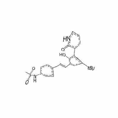 CC(C)(C)c1cc(C=Cc2ccc(NS(C)(=O)=O)cc2)c(O)c(-c2ccc[nH]c2=O)c1